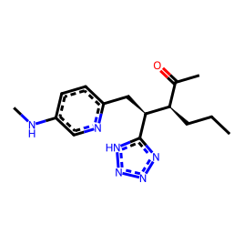 CCC[C@H](C(C)=O)[C@H](Cc1ccc(NC)cn1)c1nnn[nH]1